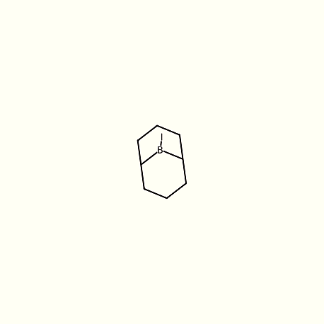 IB1C2CCCC1CCC2